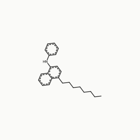 CCCCCCCCc1ccc(Nc2ccccc2)c2ccccc12